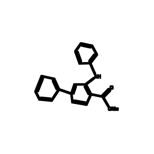 COC(=O)c1ccc(-c2ccccc2)cc1Nc1ccccc1